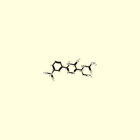 CC[C@H](NC(C)=O)c1nnc(-c2cccc([N+](=O)[O-])c2)[nH]c1=O